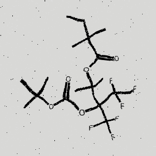 CCC(C)(C)C(=O)OC(C)(C)C(OC(=O)OC(C)(C)C)(C(F)(F)F)C(F)(F)F